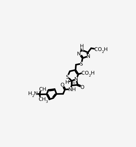 CC(C)(N)c1ccc(CC(=O)NC2C(=O)N3C(C(=O)O)=C(CSc4n[nH]c(CC(=O)O)n4)CS[C@@H]23)cc1